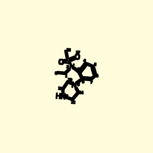 CCN(c1ccccc1N1CCNCC1)S(C)(=O)=O